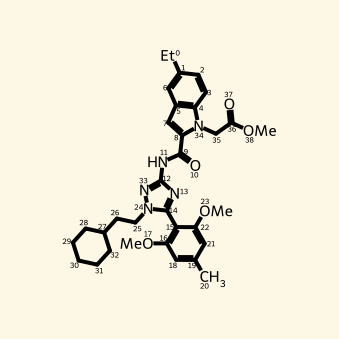 CCc1ccc2c(c1)cc(C(=O)Nc1nc(-c3c(OC)cc(C)cc3OC)n(CCC3CCCCC3)n1)n2CC(=O)OC